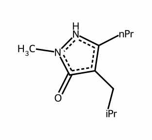 CCCc1[nH]n(C)c(=O)c1CC(C)C